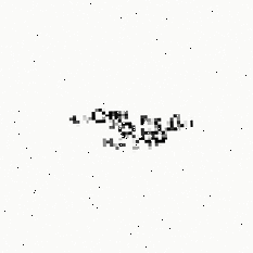 CCOc1c(-c2cn[nH]c2)ccn2nc(Nc3ccc(S(=O)(=O)N[C@H]4CC[C@H](N)CC4)cc3C)nc12